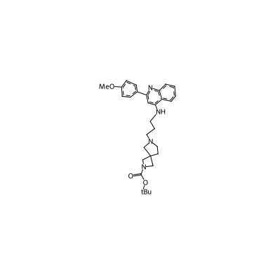 COc1ccc(-c2cc(NCCCN3CCC4(C3)CN(C(=O)OC(C)(C)C)C4)c3ccccc3n2)cc1